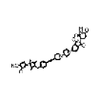 Cc1nn(-c2ccc(C#N)c(Cl)c2)c(C)c1Cc1ccc(C#CC2CCN(C3CCN(c4ccc5c(c4)C(=O)N(C4CCC(=O)NC4=O)C5=O)CC3)CC2)cc1